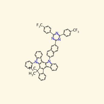 CC1(C)c2ccccc2-c2c1c1c(c3ccccc3n1-c1ccccc1)c1c2c2ccccc2n1-c1ccc2cc(-c3nc(-c4ccc(C(F)(F)F)cc4)nc(-c4ccc(C(F)(F)F)cc4)n3)ccc2c1